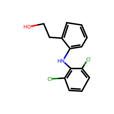 OCCc1ccccc1Nc1c(Cl)cccc1Cl